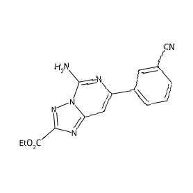 CCOC(=O)c1nc2cc(-c3cccc(C#N)c3)nc(N)n2n1